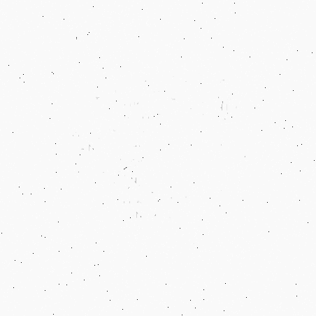 COc1cc([N+](=O)[O-])c2cc1Oc1ccc(cc1)C[C@H]1c3cc(c(C)cc3CCN1C)Oc1c(OC)c(OC)c([N+](=O)[O-])c3c1[C@H](C2)N(C)CC3